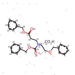 C[C@@H](OCc1ccccc1)[C@@H](C(=O)O)N(CCC(=O)OCc1ccccc1)C(=O)OCc1ccccc1